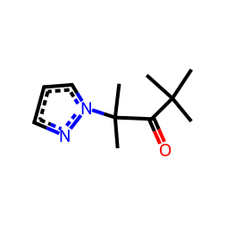 CC(C)(C)C(=O)C(C)(C)n1cccn1